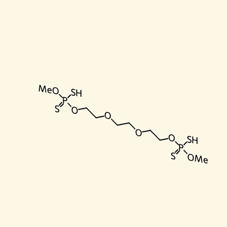 COP(=S)(S)OCCOCCOCCOP(=S)(S)OC